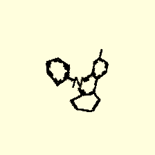 Cc1ccc2c3c(n(-c4ccccc4)c2c1)CCC=C3